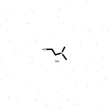 CN(C)CCO.[Sm]